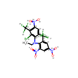 CCN(c1c([N+](=O)[O-])cc([N+](=O)[O-])cc1C(F)(F)F)c1c(Cl)cc([N+](=O)[O-])c(C(F)(F)F)c1Br